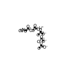 O=[N+]([O-])[O-].O=[N+]([O-])[O-].O=[N+]([O-])[O-].O=[N+]([O-])[O-].O=[N+]([O-])[O-].[Ca+2].[K+].[Li+].[Na+]